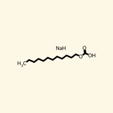 CCCCCCCCCCCCOC(=O)O.[NaH]